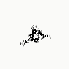 COc1cc(NC(=O)C=CCN(C)C)cc(-c2cnc3c(c2)c(-c2ccnc(F)c2)cn3COC(C)=O)c1